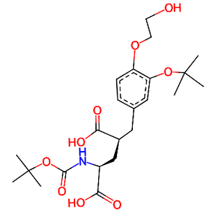 CC(C)(C)OC(=O)N[C@@H](C[C@H](Cc1ccc(OCCO)c(OC(C)(C)C)c1)C(=O)O)C(=O)O